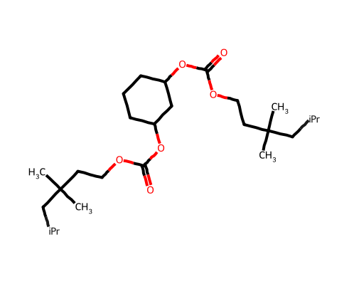 CC(C)CC(C)(C)CCOC(=O)OC1CCCC(OC(=O)OCCC(C)(C)CC(C)C)C1